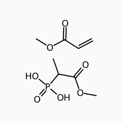 C=CC(=O)OC.COC(=O)C(C)P(=O)(O)O